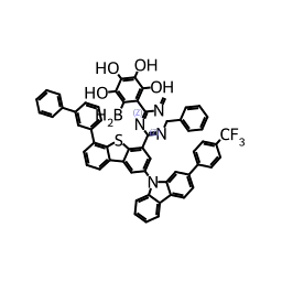 Bc1c(O)c(O)c(O)c(O)c1/C(N=C)=N/C(=N\Cc1ccccc1)c1cc(-n2c3ccccc3c3ccc(-c4ccc(C(F)(F)F)cc4)cc32)cc2c1sc1c(-c3cccc(-c4ccccc4)c3)cccc12